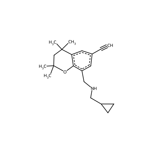 C#Cc1cc(CNCC2CC2)c2c(c1)C(C)(C)CC(C)(C)O2